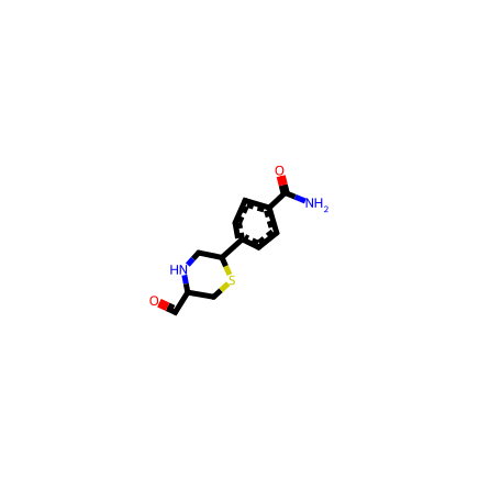 NC(=O)c1ccc(C2CNC(C=O)CS2)cc1